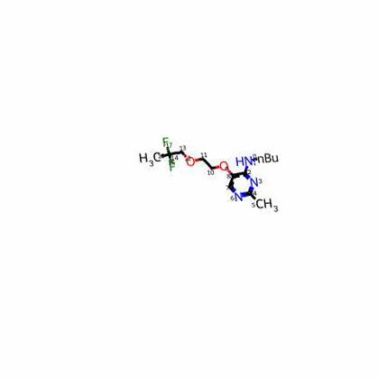 CCCCNc1nc(C)ncc1OCCOCC(C)(F)F